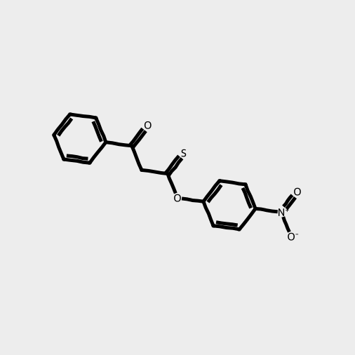 O=C(CC(=S)Oc1ccc([N+](=O)[O-])cc1)c1ccccc1